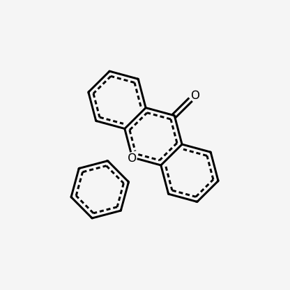 O=c1c2ccccc2oc2ccccc12.c1ccccc1